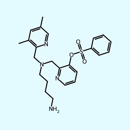 Cc1cnc(CN(CCCCN)Cc2ncccc2OS(=O)(=O)c2ccccc2)c(C)c1